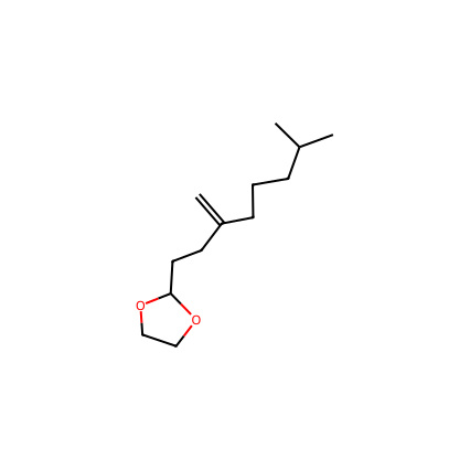 C=C(CCCC(C)C)CCC1OCCO1